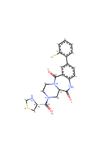 O=C1Nc2ccc(-c3ccccc3F)cc2C(=O)N2CCN(C(=O)[C@@H]3CSCN3)CC12